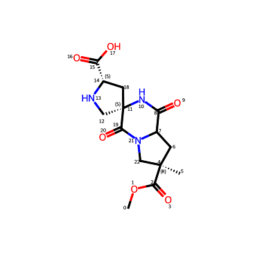 COC(=O)[C@]1(C)CC2C(=O)N[C@@]3(CN[C@H](C(=O)O)C3)C(=O)N2C1